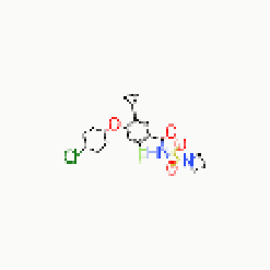 O=C(NS(=O)(=O)N1CCC1)c1cc(C2CC2)c(OC2CC=C(Cl)CC2)cc1F